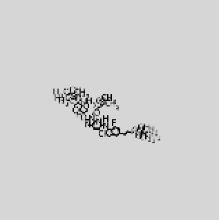 CC(C)(C)[Si](C)(C)OC/C=C/c1cc(F)c2c(c1)CC[C@@H]2Nc1nc2c(cc1Cl)nc(O[C@@H]1CO[C@H]3[C@@H]1OC[C@H]3O[Si](C)(C)C(C)(C)C)n2COCC[Si](C)(C)C